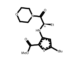 CC[C@@H](Nc1cc(C(C)(C)C)sc1C(=O)OC)C(=O)N1CCOCC1